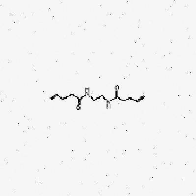 C=CCCC(=O)NCCNC(=O)CCC=C